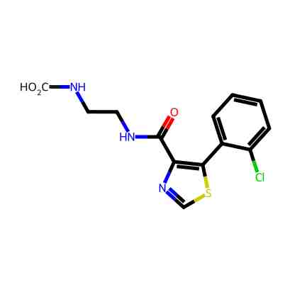 O=C(O)NCCNC(=O)c1ncsc1-c1ccccc1Cl